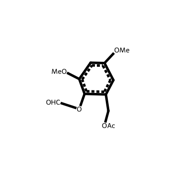 COc1cc(COC(C)=O)c(OC=O)c(OC)c1